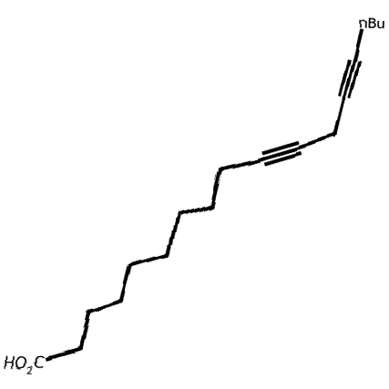 CCCCC#CCC#CCCCCCCCCC(=O)O